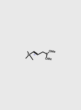 COB(C/C=C/[Si](C)(C)C)OC